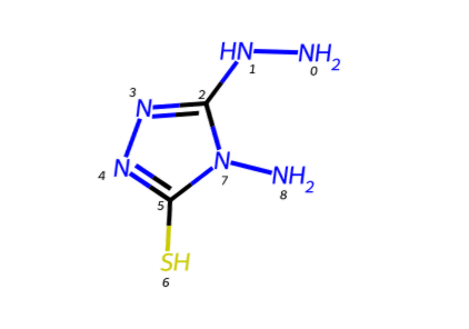 NNc1nnc(S)n1N